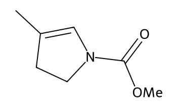 COC(=O)N1C=C(C)CC1